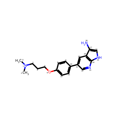 CN(C)CCCOc1ccc(-c2cnc3[nH]cc(N)c3c2)cc1